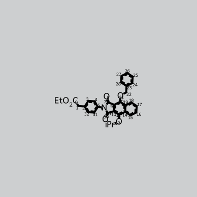 CCOC(=O)Cc1ccc(N2C(=O)c3c(c(OC(C)C)c4ccccc4c3OCc3ccccc3)C2=O)cc1